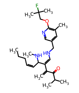 C=C(C(=O)C(C)C)/C(=C/NCc1cnc(OCC(C)(C)F)c(C)c1)C(/C=C\CCC)NC